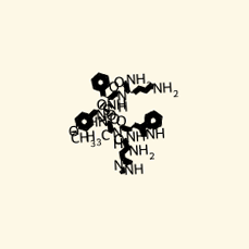 COc1ccc(CN(NC(=O)[C@H](C)NC(=O)[C@@H](Cc2c[nH]c3ccccc23)NC(=O)[C@@H](N)Cc2c[nH]cn2)S(=O)(=O)N[C@H](Cc2ccccc2)C(=O)N[C@@H](CCCCN)C(N)=O)cc1